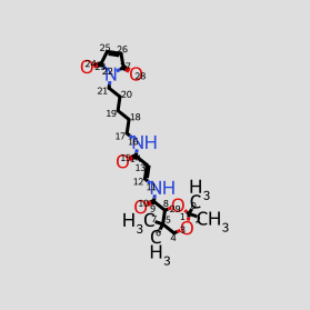 CC1(C)OCC(C)(C)C(C(=O)N/C=C/C(=O)NCCCCCN2C(=O)C=CC2=O)O1